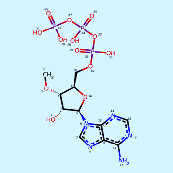 CO[C@H]1[C@@H](O)[C@H](n2cnc3c(N)ncnc32)O[C@@H]1COP(=O)(O)OP(=O)(O)OP(=O)(O)O